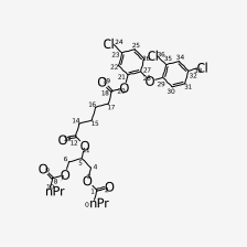 CCCC(=O)OCC(COC(=O)CCC)OC(=O)CCCCC(=O)Oc1cc(Cl)ccc1Oc1ccc(Cl)cc1Cl